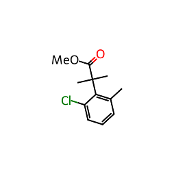 COC(=O)C(C)(C)c1c(C)cccc1Cl